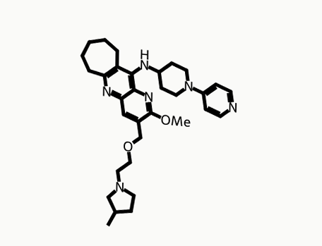 COc1nc2c(NC3CCN(c4ccncc4)CC3)c3c(nc2cc1COCCN1CCC(C)C1)CCCCC3